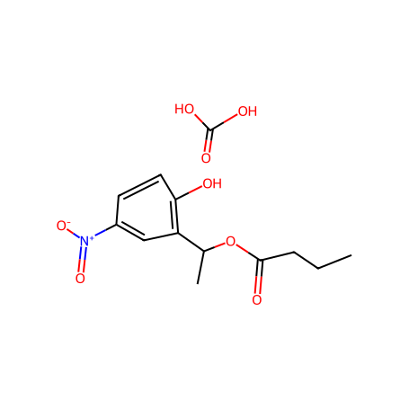 CCCC(=O)OC(C)c1cc([N+](=O)[O-])ccc1O.O=C(O)O